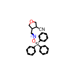 N#CC1COCC1/C=N/O[Si](c1ccccc1)(c1ccccc1)c1ccccc1